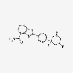 NC(=O)c1cccc2cn(-c3ccc(C4(F)CNCC(F)C4)cc3)nc12